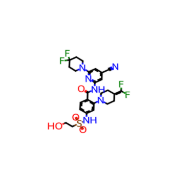 N#Cc1cc(NC(=O)c2ccc(NS(=O)(=O)CCO)cc2N2CCC(=C(F)F)CC2)nc(N2CCC(F)(F)CC2)c1